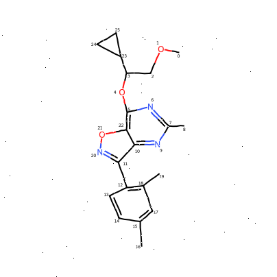 COCC(Oc1nc(C)nc2c(-c3ccc(C)cc3C)noc12)C1CC1